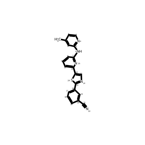 Cc1ccnc(Nc2cccc(-c3cnc(-c4cccc(C#N)c4)s3)n2)c1